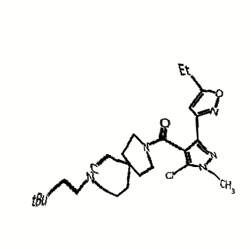 CCc1cc(-c2nn(C)c(Cl)c2C(=O)N2CCC3(CCN(CCC(C)(C)C)CC3)CC2)no1